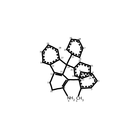 Cc1ccccc1C1=C(N)CCC2=C1C(c1ccccc1)(c1ccncc1)c1ccccc12